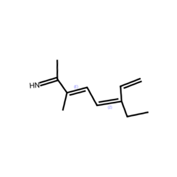 C=C/C(=C\C=C(/C)C(C)=N)CC